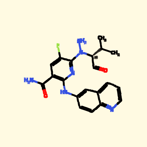 CC(C)[C@H](C=O)N(N)c1nc(Nc2ccc3ncccc3c2)c(C(N)=O)cc1F